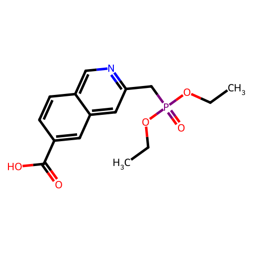 CCOP(=O)(Cc1cc2cc(C(=O)O)ccc2cn1)OCC